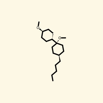 CCCCC[C@H]1CC[C@@](OC)([C@H]2CC[C@H](OC)CC2)CC1